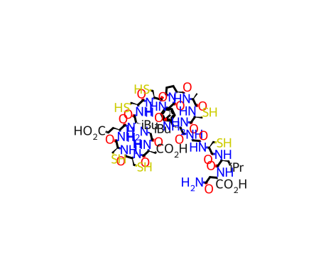 CC[C@H](C)[C@H](N)C(=O)N[C@@H](CC(=O)O)C(=O)N[C@@H](CS)C(=O)N[C@@H](CS)C(=O)N[C@@H](CCC(=O)O)C(=O)N[C@H](C(=O)N[C@@H](CS)C(=O)N[C@@H](CS)C(=O)N[C@@H](CC(N)=O)C(=O)N1CCC[C@H]1C(=O)N[C@@H](C)C(=O)N[C@@H](CS)C(=O)N[C@@H](Cc1ccccc1)C(=O)NCC(=O)N[C@@H](CS)C(=O)N[C@@H](CC(C)C)C(=O)N[C@@H](CC(N)=O)C(=O)O)[C@@H](C)CC